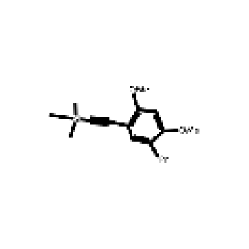 COc1cc(OC)c(C(C)C)cc1C#C[Si](C)(C)C